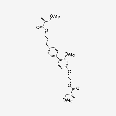 C=C(COC)C(=O)OCCCc1ccc(-c2ccc(OCCOC(=O)C(=C)COC)cc2OC)cc1